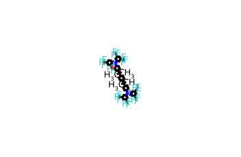 CC(C)(c1ccc(N(c2cc(C(F)(F)F)cc(C(F)(F)F)c2)c2cc(C(F)(F)F)cc(C(F)(F)F)c2)cc1)c1ccc(C(C)(C)c2ccc(N(c3cc(C(F)(F)F)cc(C(F)(F)F)c3)c3ccc(C(F)(F)F)cc3C(F)(F)F)cc2)cc1